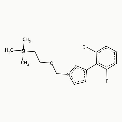 C[Si](C)(C)CCOCn1ccc(-c2c(F)cccc2Cl)c1